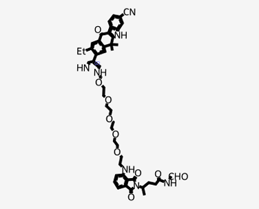 CCc1cc2c(cc1/C(C=N)=C/NCOCCOCCOCCOCCOCCNc1cccc3c1C(=O)N(C(C)CCC(=O)NC=O)C3=O)C(C)(C)c1[nH]c3cc(C#N)ccc3c1C2=O